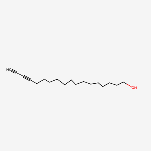 C#CC#CCCCCCCCCCCCCCCO